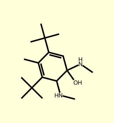 CNC1C(C(C)(C)C)=C(C)C(C(C)(C)C)=CC1(O)NC